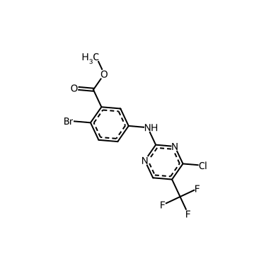 COC(=O)c1cc(Nc2ncc(C(F)(F)F)c(Cl)n2)ccc1Br